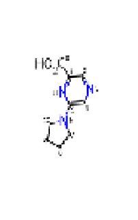 O=C(O)c1cncc(N2CCCC2)n1